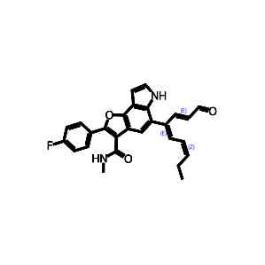 CC\C=C/C=C(\C=C\C=O)c1cc2c(C(=O)NC)c(-c3ccc(F)cc3)oc2c2cc[nH]c12